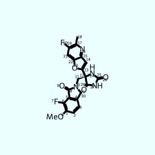 COc1ccc2c(c1F)C(=O)N(C[C@@]1(c3cc4nc(C)c(F)cc4o3)NC(=O)NC1=O)C2